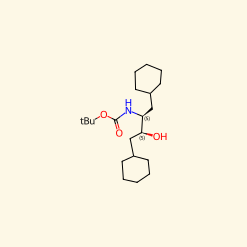 CC(C)(C)OC(=O)N[C@@H](CC1CCCCC1)[C@@H](O)CC1CCCCC1